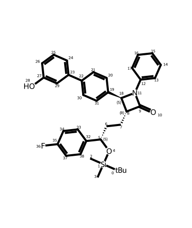 CC(C)(C)[Si](C)(C)O[C@@H](CC[C@H]1C(=O)N(c2ccccc2)[C@@H]1c1ccc(-c2cccc(O)c2)cc1)c1ccc(F)cc1